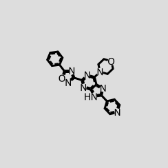 c1ccc(-c2nc(-c3nc(N4CCOCC4)c4nc(-c5ccncc5)[nH]c4n3)no2)cc1